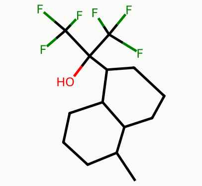 CC1CCCC2C1CCCC2C(O)(C(F)(F)F)C(F)(F)F